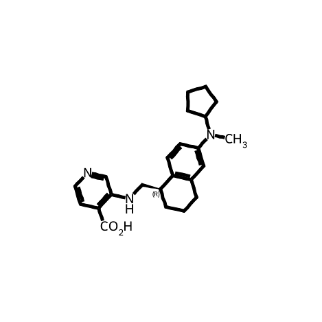 CN(c1ccc2c(c1)CCC[C@H]2CNc1cnccc1C(=O)O)C1CCCC1